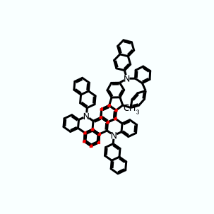 CC12c3ccc(cc3)-c3ccccc3N(c3ccc4ccccc4c3)c3ccc(c1c3)-c1cc3c(N(c4ccc5ccccc5c4)c4ccccc4-c4ccccc4)c4ccccc4c(N(c4ccc5ccccc5c4)c4ccccc4-c4ccccc4)c3cc12